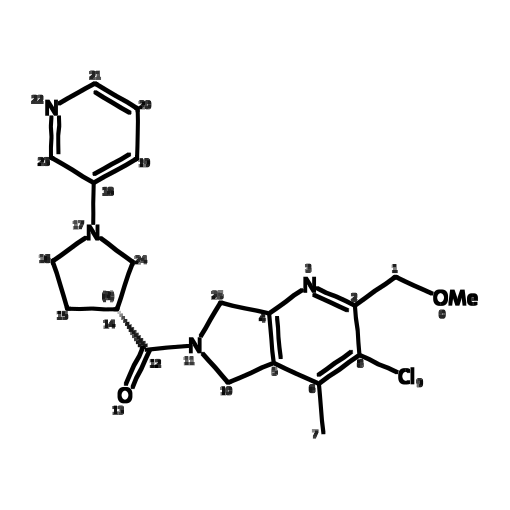 COCc1nc2c(c(C)c1Cl)CN(C(=O)[C@@H]1CCN(c3cccnc3)C1)C2